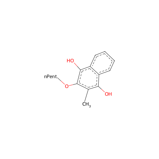 CCCCCOc1c(C)c(O)c2ccccc2c1O